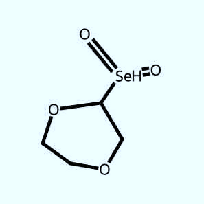 O=[SeH](=O)C1COCCO1